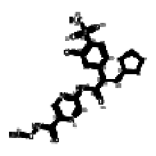 CC(C)(C)ONC(=O)c1cnc(NC(=O)[C@H](CC2CCCC2)c2ccc(S(C)(=O)=O)c(Cl)c2)cn1